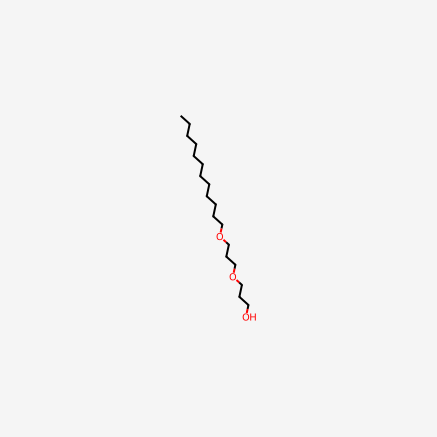 CCCCCCCCCCCCOCCCOCCCO